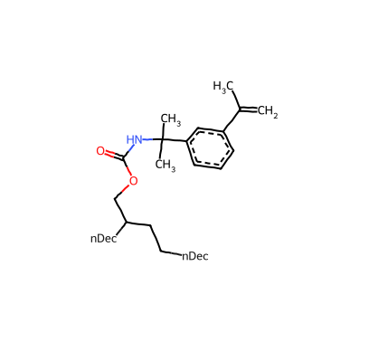 C=C(C)c1cccc(C(C)(C)NC(=O)OCC(CCCCCCCCCC)CCCCCCCCCCCC)c1